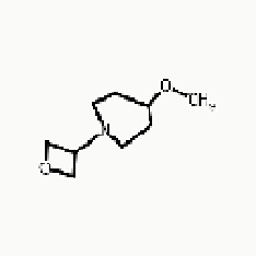 COC1CCN(C2COC2)CC1